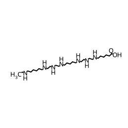 CCNCCCCCCNCCNCCNCCCCCNCCNCCNCCCCCC(=O)O